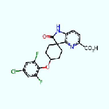 O=C(O)c1ccc2c(n1)C1(CCC(Oc3c(F)cc(Cl)cc3F)CC1)C(=O)N2